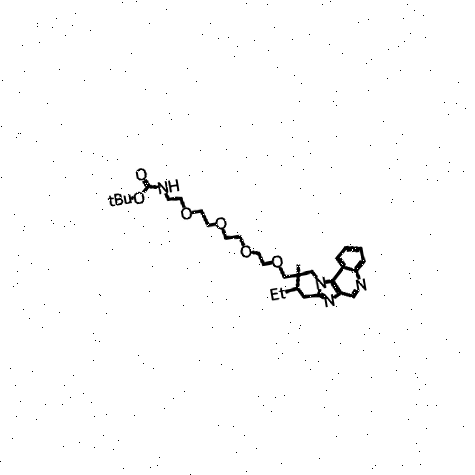 CCC1Cc2nc3cnc4ccccc4c3n2CC1(C)COCCOCCOCCOCCNC(=O)OC(C)(C)C